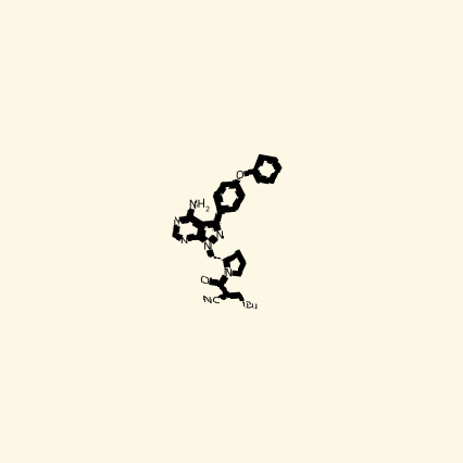 CC(C)(C)C=C(C#N)C(=O)N1CCC[C@H]1Cn1nc(-c2ccc(Oc3ccccc3)cc2)c2c(N)ncnc21